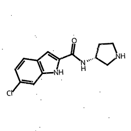 O=C(N[C@@H]1CCNC1)c1cc2ccc(Cl)cc2[nH]1